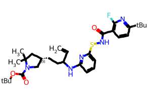 C=CC(CC[C@@H]1CN(C(=O)OC(C)(C)C)C(C)(C)C1)Nc1cccc(SNC(=O)c2ccc(C(C)(C)C)nc2F)n1